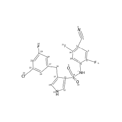 N#Cc1cc(F)c(NS(=O)(=O)c2c[nH]cc2Cc2cc(F)cc(Cl)c2)cc1F